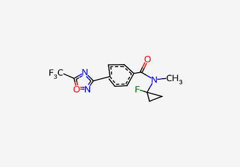 CN(C(=O)c1ccc(-c2noc(C(F)(F)F)n2)cc1)C1(F)CC1